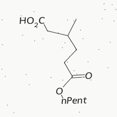 CCCCCOC(=O)CCC(C)CC(=O)O